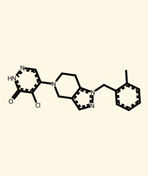 Cc1ccccc1Cn1ncc2c1CCN(c1cn[nH]c(=O)c1Cl)C2